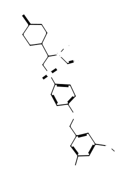 C=C1CCC(C(CS(=O)(=O)c2ccc(OCc3cc(C)cc(OC)c3)cc2)N(O)C=O)CC1